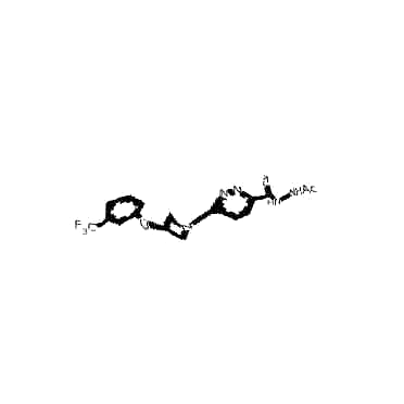 CC(=O)NNC(=O)c1ccc(N2CC(Oc3cccc(C(F)(F)F)c3)C2)nn1